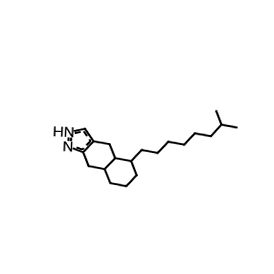 CC(C)CCCCCCC1CCCC2Cc3n[nH]cc3CC12